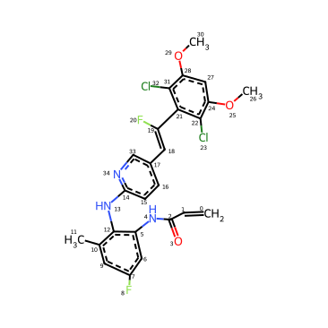 C=CC(=O)Nc1cc(F)cc(C)c1Nc1ccc(/C=C(\F)c2c(Cl)c(OC)cc(OC)c2Cl)cn1